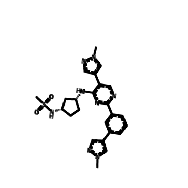 Cn1cc(-c2cccc(-c3ncc(-c4cnn(C)c4)c(N[C@@H]4CC[C@H](NS(C)(=O)=O)C4)n3)c2)cn1